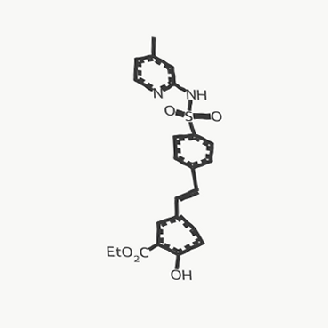 CCOC(=O)c1cc(C=Cc2ccc(S(=O)(=O)Nc3cc(C)ccn3)cc2)ccc1O